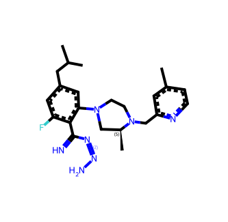 Cc1ccnc(CN2CCN(c3cc(CC(C)C)cc(F)c3C(=N)/N=N\N)C[C@@H]2C)c1